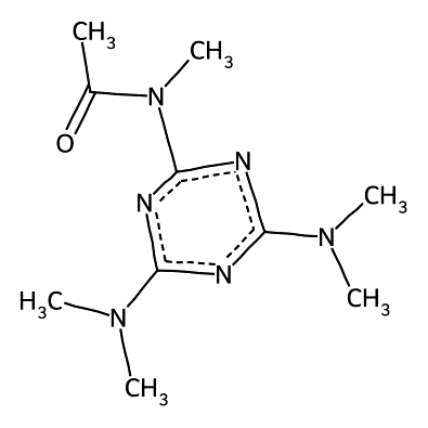 CC(=O)N(C)c1nc(N(C)C)nc(N(C)C)n1